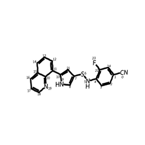 N#Cc1ccc(NSc2c[nH]c(-c3cccc4cccnc34)c2)c(F)c1